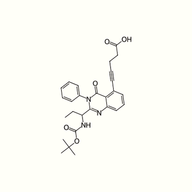 CCC(NC(=O)OC(C)(C)C)c1nc2cccc(C#CCCC(=O)O)c2c(=O)n1-c1ccccc1